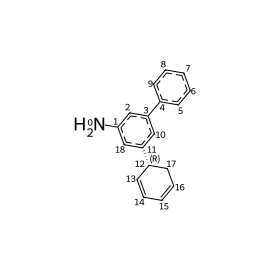 Nc1cc(-c2ccccc2)cc([C@H]2C=CC=CC2)c1